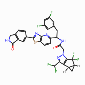 O=C(Cn1nc(C(F)F)c2c1C(F)(F)[C@@H]1C[C@H]21)NC(Cc1cc(F)cc(F)c1)c1ccc2sc(-c3ccc4c(c3)C(=O)NC4)nc2n1